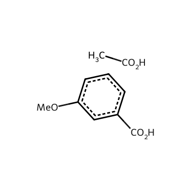 CC(=O)O.COc1cccc(C(=O)O)c1